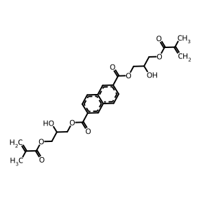 C=C(C)C(=O)OCC(O)COC(=O)c1ccc2cc(C(=O)OCC(O)COC(=O)C(=C)C)ccc2c1